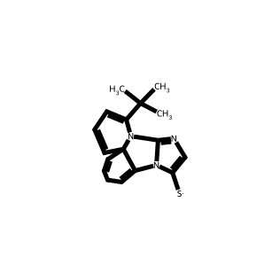 CC(C)(C)C1=CC=CC23C=CCC=C2n2c([S])cnc2N13